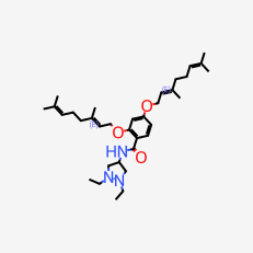 CCN1CC(NC(=O)c2ccc(OC/C=C(\C)CCC=C(C)C)cc2OC/C=C(\C)CCC=C(C)C)CN1CC